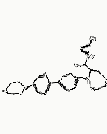 N#CCNC(=O)C1CCCCN1c1ccc(-c2ccc(N3CCNCC3)cc2)cc1